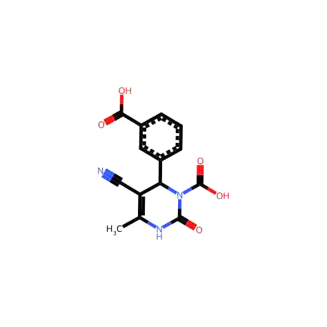 CC1=C(C#N)C(c2cccc(C(=O)O)c2)N(C(=O)O)C(=O)N1